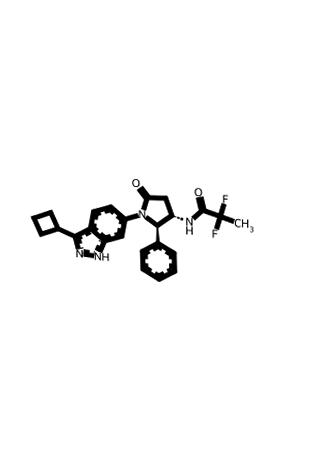 CC(F)(F)C(=O)N[C@H]1CC(=O)N(c2ccc3c(C4CCC4)n[nH]c3c2)[C@@H]1c1ccccc1